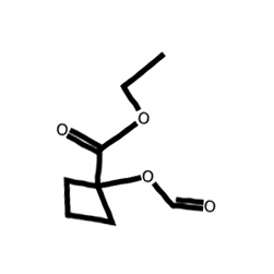 CCOC(=O)C1(OC=O)CCC1